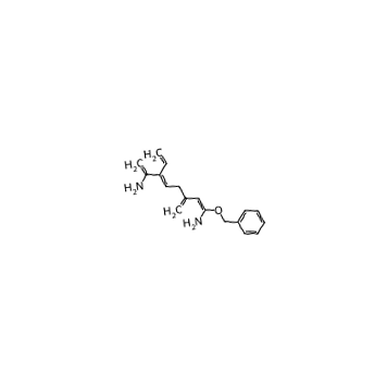 C=C/C(=C\CC(=C)/C=C(\N)OCc1ccccc1)C(=C)N